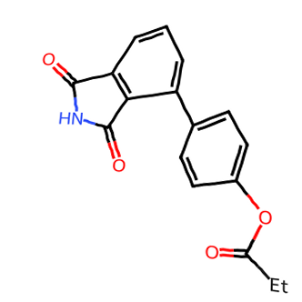 CCC(=O)Oc1ccc(-c2cccc3c2C(=O)NC3=O)cc1